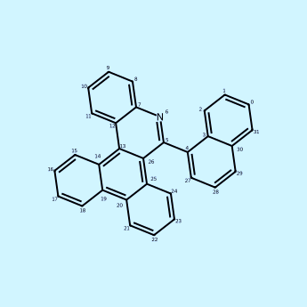 c1ccc2c(-c3nc4ccccc4c4c5ccccc5c5ccccc5c34)cccc2c1